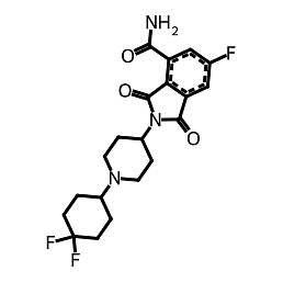 NC(=O)c1cc(F)cc2c1C(=O)N(C1CCN(C3CCC(F)(F)CC3)CC1)C2=O